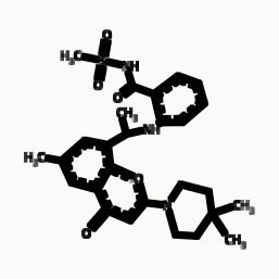 Cc1cc(C(C)Nc2ccccc2C(=O)NS(C)(=O)=O)c2oc(N3CCC(C)(C)CC3)cc(=O)c2c1